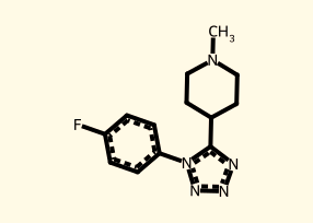 CN1CCC(c2nnnn2-c2ccc(F)cc2)CC1